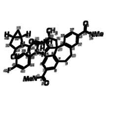 CNC(=O)c1ccc2c(c1)CCc1cc(C(=O)NC)ccc1C2(C[C@H](C)NCC(=O)N1C(C#N)C[C@@H]2C[C@@H]21)c1nn(-c2ccc(F)cc2)c(=O)[nH]1